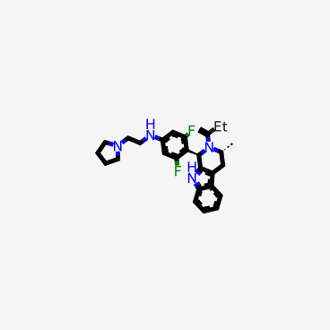 C=C(CC)N1[C@H](c2c(F)cc(NCCN3CCCC3)cc2F)c2[nH]c3ccccc3c2C[C@H]1C